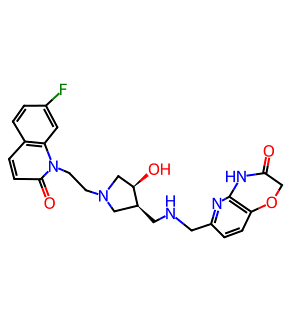 O=C1COc2ccc(CNC[C@H]3CN(CCn4c(=O)ccc5ccc(F)cc54)C[C@H]3O)nc2N1